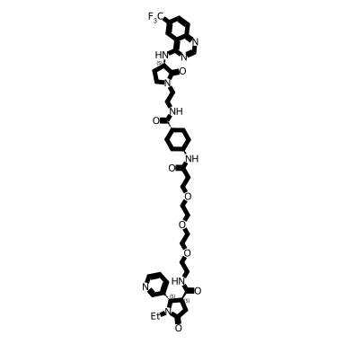 CCN1C(=O)C[C@H](C(=O)NCCOCCOCCOCCC(=O)N[C@H]2CC[C@@H](C(=O)NCCN3CC[C@H](Nc4ncnc5ccc(C(F)(F)F)cc45)C3=O)CC2)[C@H]1c1cccnc1